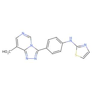 O=C(O)c1cncn2c(-c3ccc(Nc4nccs4)cc3)nnc12